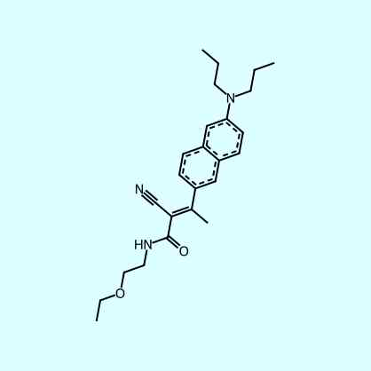 CCCN(CCC)c1ccc2cc(/C(C)=C(\C#N)C(=O)NCCOCC)ccc2c1